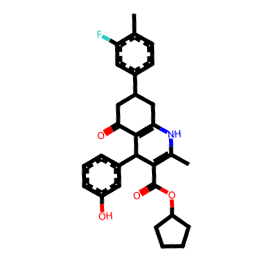 CC1=C(C(=O)OC2CCCC2)C(c2cccc(O)c2)C2=C(CC(c3ccc(C)c(F)c3)CC2=O)N1